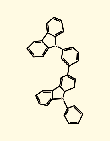 C1=C(c2cccc(-n3c4ccccc4c4ccccc43)c2)C=C2c3ccccc3N(c3ccccc3)C2C1